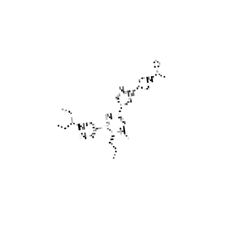 CC/C=C1/C(c2cnn(C(CC)CC)c2)=NC(c2cnn(C3CN(C(C)=O)C3)c2)=CN1C